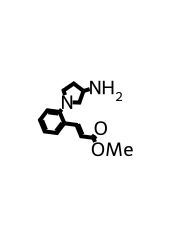 COC(=O)/C=C/c1ccccc1N1CCC(N)C1